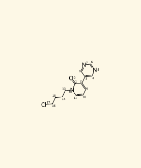 O=c1c(-c2cncnc2)cccn1CCCCCl